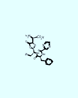 CC(C)C[C@H](NC(=O)[C@H](Cc1ccccc1)NC(=O)c1cnccn1)B1OC(=O)[C@@H]([C@@H](N)C(=O)O)O1